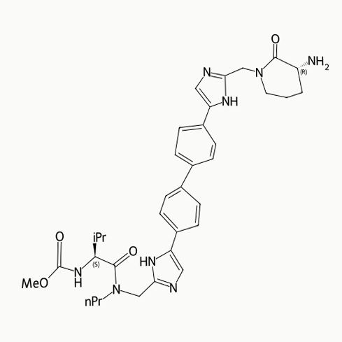 CCCN(Cc1ncc(-c2ccc(-c3ccc(-c4cnc(CN5CCC[C@@H](N)C5=O)[nH]4)cc3)cc2)[nH]1)C(=O)[C@@H](NC(=O)OC)C(C)C